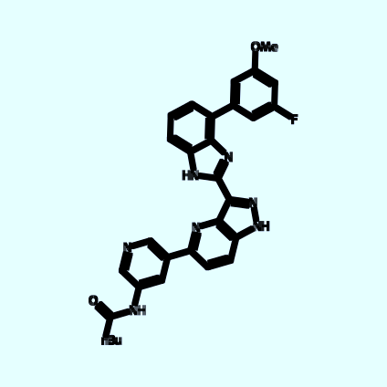 CCCCC(=O)Nc1cncc(-c2ccc3[nH]nc(-c4nc5c(-c6cc(F)cc(OC)c6)cccc5[nH]4)c3n2)c1